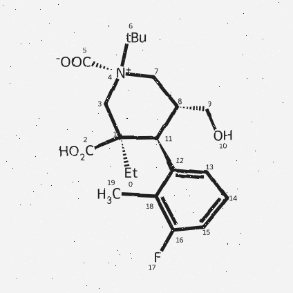 CC[C@]1(C(=O)O)C[N@@+](C(=O)[O-])(C(C)(C)C)C[C@H](CO)[C@H]1c1cccc(F)c1C